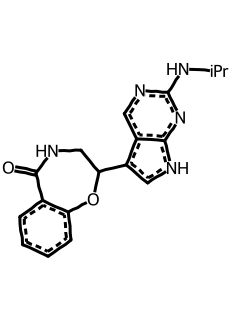 CC(C)Nc1ncc2c(C3CNC(=O)c4ccccc4O3)c[nH]c2n1